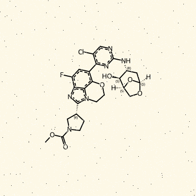 COC(=O)N1CC[C@@H](c2nc3c(F)cc(-c4nc(N[C@@H]5C[C@H]6OC[C@H](O6)[C@H]5O)ncc4Cl)c4c3n2CCO4)C1